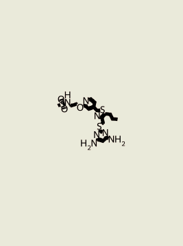 CCCc1sc(-c2ccnc(OCCNS(C)(=O)=O)c2)nc1CSc1nc(N)cc(N)n1